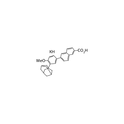 COc1ccc(-c2ccc3cc(C(=O)O)ccc3c2)cc1C12CC3CC(CC(C3)C1)C2.[KH]